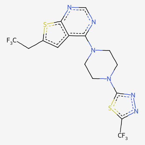 FC(F)(F)Cc1cc2c(N3CCN(c4nnc(C(F)(F)F)s4)CC3)ncnc2s1